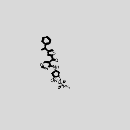 CC(c1ccccc1)c1csc(C(=O)c2cncnc2N[C@@H]2C[C@H](COS(N)(=O)=O)[C@@H](O)C2)c1